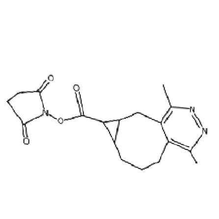 Cc1nnc(C)c2c1CCCC1C(C2)C1C(=O)ON1C(=O)CCC1=O